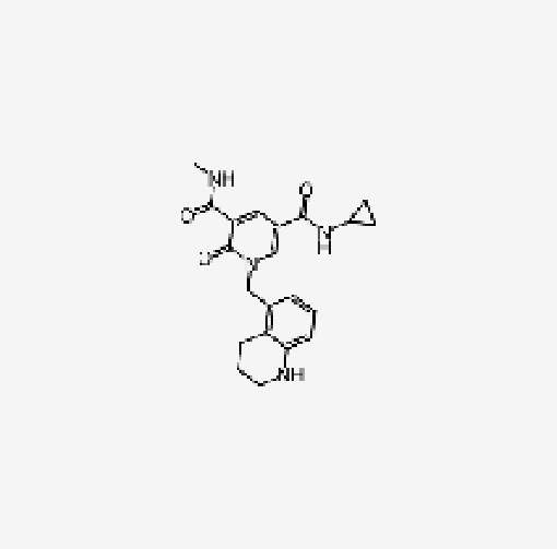 CNC(=O)c1cc(C(=O)NC2CC2)cn(Cc2cccc3c2CCCN3)c1=O